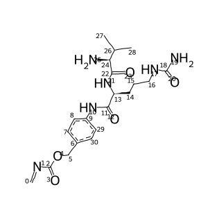 C=NC(=O)OCc1ccc(NC(=O)[C@H](CCCNC(N)=O)NC(=O)[C@@H](N)C(C)C)cc1